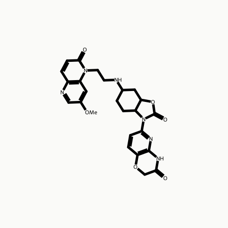 COc1cnc2ccc(=O)n(CCNC3CCC4C(C3)OC(=O)N4c3ccc4c(n3)NC(=O)CO4)c2c1